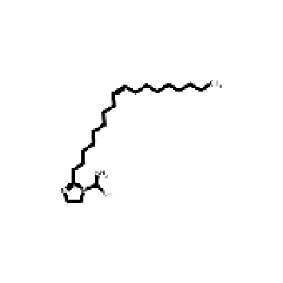 CCCCCCCC/C=C\CCCCCCCCC1=NCCN1C(C)N